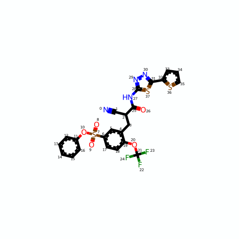 N#CC(Cc1cc(S(=O)(=O)Oc2ccccc2)ccc1OC(F)(F)F)C(=O)Nc1nnc(-c2cccs2)s1